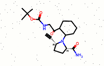 C#C[C@H]1CC[C@@H](C(N)=O)N1C1CCCCC1C(=O)CNC(=O)OC(C)(C)C